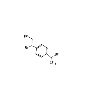 CC(Br)c1ccc(C(Br)CBr)cc1